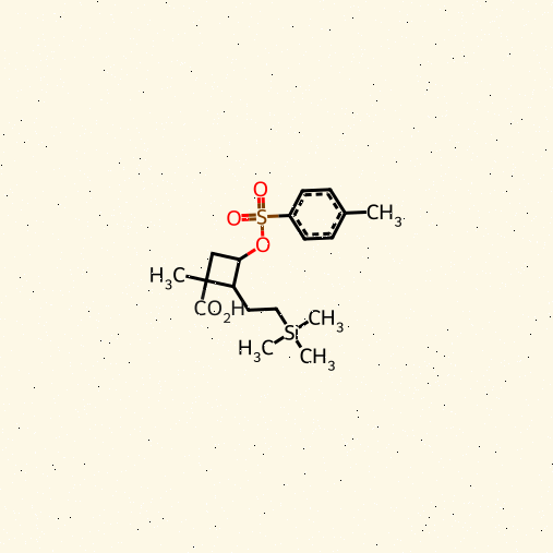 Cc1ccc(S(=O)(=O)OC2CC(C)(C(=O)O)C2CC[Si](C)(C)C)cc1